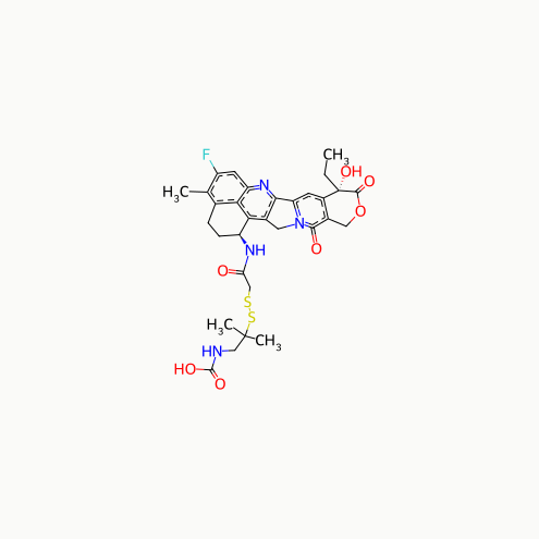 CC[C@@]1(O)C(=O)OCc2c1cc1n(c2=O)Cc2c-1nc1cc(F)c(C)c3c1c2[C@@H](NC(=O)CSSC(C)(C)CNC(=O)O)CC3